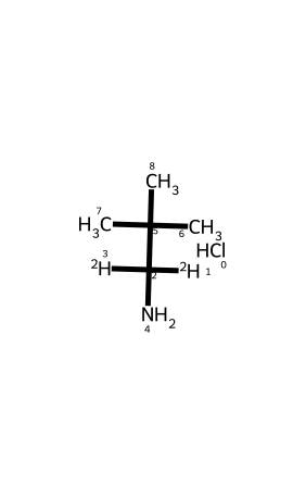 Cl.[2H]C([2H])(N)C(C)(C)C